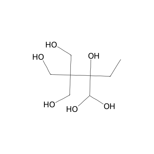 CCC(O)(C(O)O)C(CO)(CO)CO